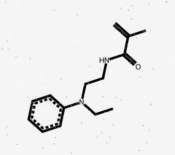 C=C(C)C(=O)NCCN(CC)c1ccccc1